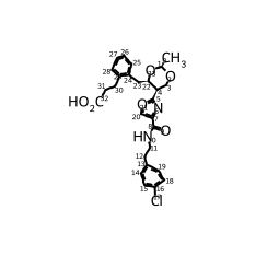 C[C@H]1OC[C@@H](c2nc(C(=O)NCCc3ccc(Cl)cc3)co2)[C@@H](Cc2ccccc2CCC(=O)O)O1